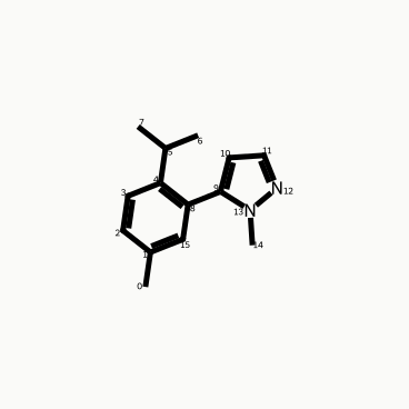 Cc1ccc(C(C)C)c(-c2ccnn2C)c1